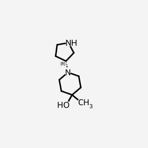 CC1(O)CCN([C@@H]2CCNC2)CC1